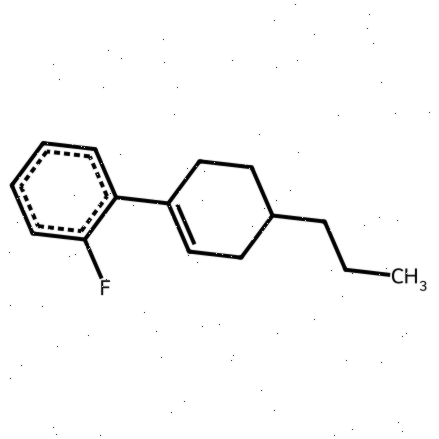 CCCC1CC=C(c2ccccc2F)CC1